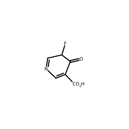 O=C(O)C1=CN=CC(F)C1=O